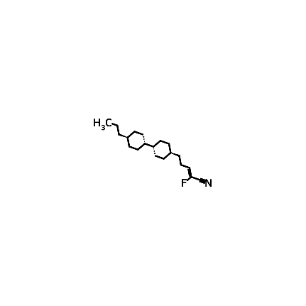 CCC[C@H]1CC[C@H]([C@H]2CC[C@H](CCC=C(F)C#N)CC2)CC1